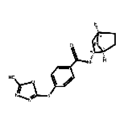 N#Cc1nnc(Sc2ccc(C(=O)N[C@@H]3C[C@H]4CC[C@@H]3N4)cc2)o1